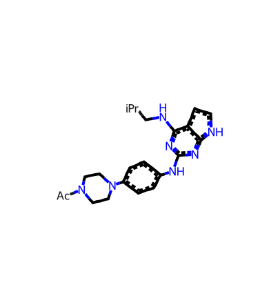 CC(=O)N1CCN(c2ccc(Nc3nc(NCC(C)C)c4cc[nH]c4n3)cc2)CC1